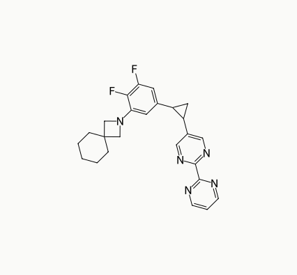 Fc1cc(C2CC2c2cnc(-c3ncccn3)nc2)cc(N2CC3(CCCCC3)C2)c1F